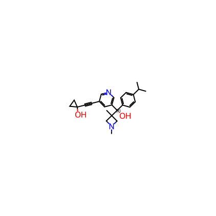 CC(C)c1ccc([C@](O)(c2cncc(C#CC3(O)CC3)c2)C2(C)CN(C)C2)cc1